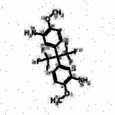 COc1ccc(C(c2ccc(OC)c(N)c2)(C(F)(F)F)C(F)(F)F)cc1N